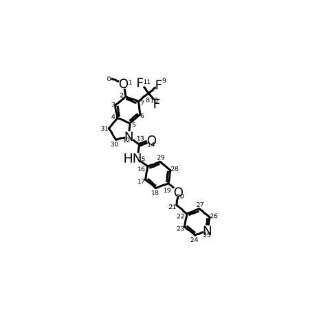 COc1cc2c(cc1C(F)(F)F)N(C(=O)Nc1ccc(OCc3ccncc3)cc1)CC2